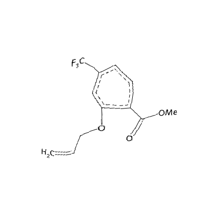 C=CCOc1cc(C(F)(F)F)ccc1C(=O)OC